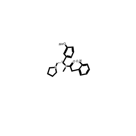 COc1cccc([C@@H](CN2CCCC2)N(C)C(=O)Cc2ccccc2[N+](=O)[O-])c1